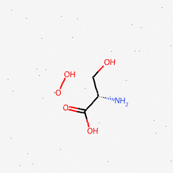 N[C@@H](CO)C(=O)O.[O]O